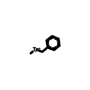 C[Te+]Cc1ccccc1